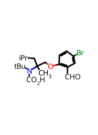 CC(C)CC(C)(COc1ccc(Br)cc1C=O)N(C(=O)O)C(C)(C)C